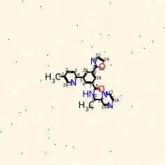 Cc1ccc(-c2cc(C(=O)N[C@H](C)c3cnccn3)cc(-c3ncco3)c2)nc1